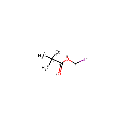 CCC(C)(C)C(=O)OCI